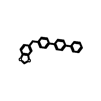 c1ccc(-c2ccc(-c3ccc(Cc4ccc5c(c4)OCO5)cc3)cc2)cc1